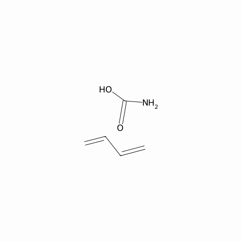 C=CC=C.NC(=O)O